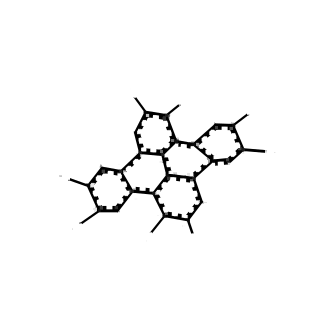 Ic1cc2c(cc1I)c1c(I)c(I)cc3c4cc(I)c(I)cc4c4c(I)c(I)cc2c4c31